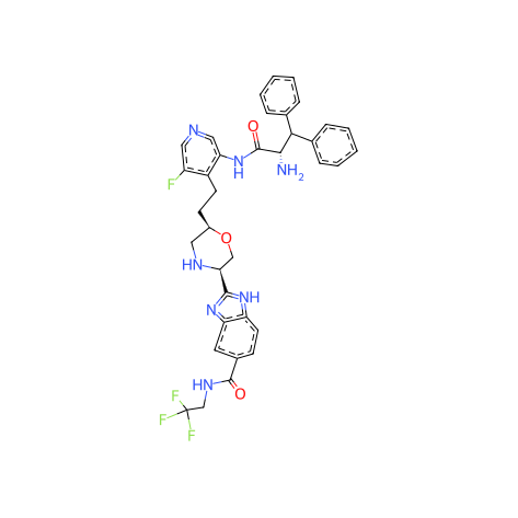 N[C@H](C(=O)Nc1cncc(F)c1CC[C@@H]1CN[C@H](c2nc3cc(C(=O)NCC(F)(F)F)ccc3[nH]2)CO1)C(c1ccccc1)c1ccccc1